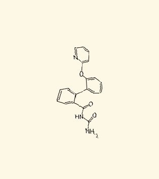 NC(=O)NC(=O)c1ccccc1-c1ccccc1Oc1ccccn1